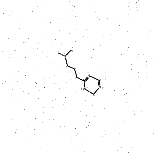 CN(C)CCCC1=NC=NCN1